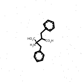 N[C@](Cc1ccccc1)(C(=O)O)C(Cc1ccccc1)C(=O)O